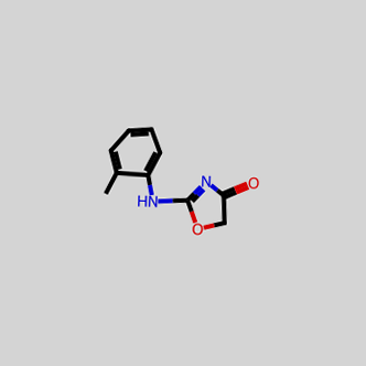 Cc1ccccc1NC1=NC(=O)CO1